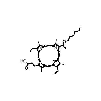 C=CC1=C(C)c2cc3[nH]c(cc4nc(cc5[nH]c(cc1n2)c(C)c5CCC(=O)O)C(CC)=C4C)c(C)c3C(C)OCCCCCC